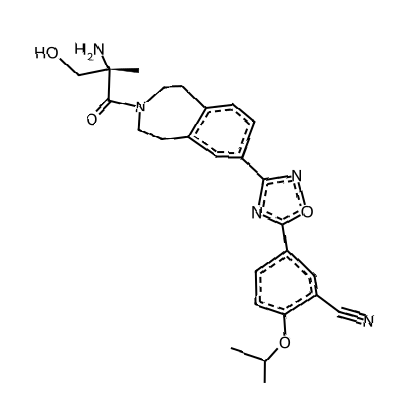 CC(C)Oc1ccc(-c2nc(-c3ccc4c(c3)CCN(C(=O)[C@@](C)(N)CO)CC4)no2)cc1C#N